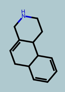 C1=CC2CC=C3CNCCC3C2C=C1